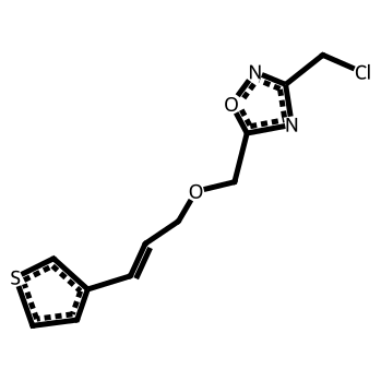 ClCc1noc(COCC=Cc2ccsc2)n1